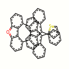 c1ccc(-c2c3ccccc3c(-c3cccc4oc5cccc(-c6c7ccccc7c(-c7cccs7)c7ccccc67)c5c34)c3ccccc23)cc1